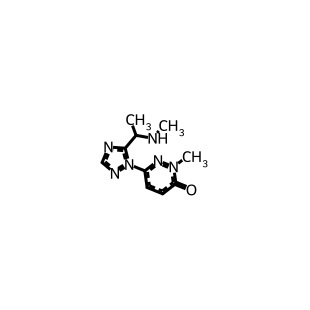 CNC(C)c1ncnn1-c1ccc(=O)n(C)n1